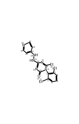 CCc1cccc(CC)c1-n1c(CC)nc(NNc2ccncc2)nc1=O